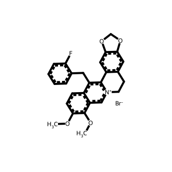 COc1ccc2c(Cc3ccccc3F)c3[n+](cc2c1OC)CCc1cc2c(cc1-3)OCO2.[Br-]